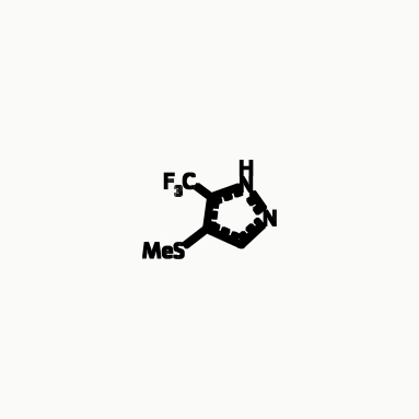 CSc1cn[nH]c1C(F)(F)F